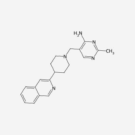 Cc1ncc(CN2CCC(c3cc4ccccc4cn3)CC2)c(N)n1